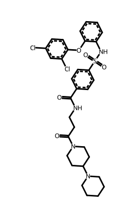 O=C(NCCC(=O)N1CCC(N2CCCCC2)CC1)c1ccc(S(=O)(=O)Nc2ccccc2Oc2ccc(Cl)cc2Cl)cc1